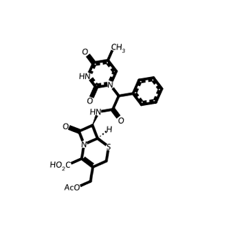 CC(=O)OCC1=C(C(=O)O)N2C(=O)[C@@H](NC(=O)C(c3ccccc3)n3cc(C)c(=O)[nH]c3=O)[C@H]2SC1